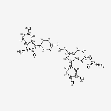 Cn1c(=O)n(C2CCN(CCCn3nc(-c4ccc(Cl)c(Cl)c4)c4c3CCN(OC(N)=O)C4)CC2)c2cc(Cl)ccc21